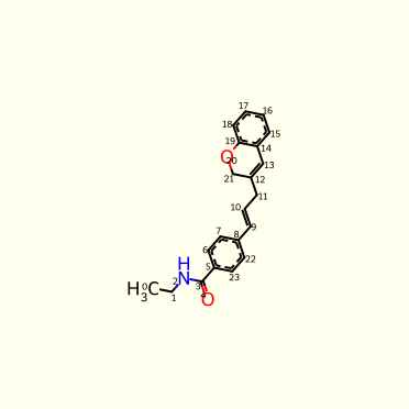 CCNC(=O)c1ccc(C=CCC2=Cc3ccccc3OC2)cc1